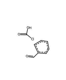 O=C(O)Cl.O=Cc1ccccc1